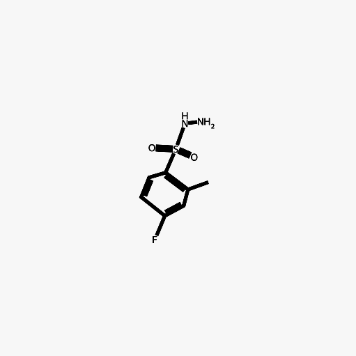 Cc1cc(F)ccc1S(=O)(=O)NN